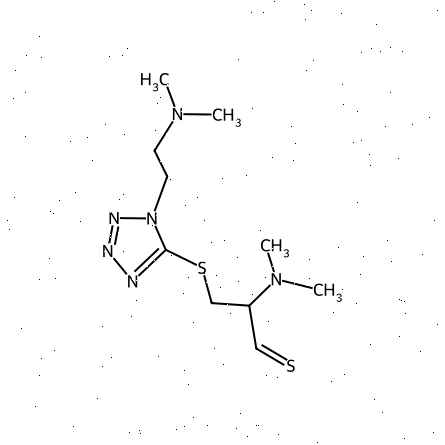 CN(C)CCn1nnnc1SCC(C=S)N(C)C